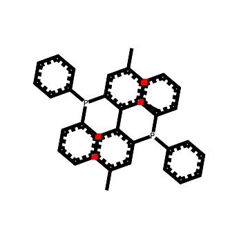 Cc1cc(C)c(-c2c(C)cc(C)cc2P(c2ccccc2)c2ccccc2)c(P(c2ccccc2)c2ccccc2)c1